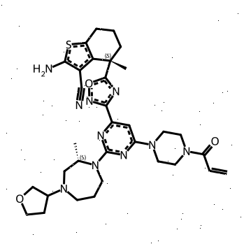 C=CC(=O)N1CCN(c2cc(-c3noc([C@@]4(C)CCCc5sc(N)c(C#N)c54)n3)nc(N3CCCN(C4CCOC4)C[C@@H]3C)n2)CC1